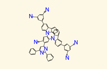 N#Cc1cc(C#N)cc(-c2ccc3c(c2)c2ccccc2n3-c2cc(C#N)c(-c3cc(-c4ccccc4)nc(-c4ccccc4)n3)cc2-n2c3ccccc3c3cc(-c4cc(C#N)cc(C#N)c4)ccc32)c1